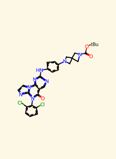 CC(C)(C)OC(=O)N1CC2(C1)CN(c1ccc(Nc3ncc4c(=O)n(-c5c(Cl)cccc5Cl)c5nccn5c4n3)cc1)C2